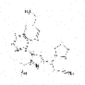 CCC/C=C\c1c(C)ncnc1-c1cn(C(CC#N)C2CCCC2)nc1CO